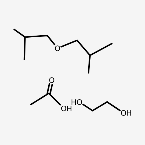 CC(=O)O.CC(C)COCC(C)C.OCCO